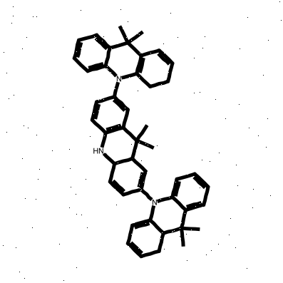 CC1(C)C2=C(CCC=C2)N(c2ccc3c(c2)C(C)(C)C2C=C(N4C5=CC=CCC5C(C)(C)c5ccccc54)C=CC2N3)c2ccccc21